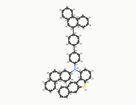 c1ccc2cc3c(cc2c1)sc1cccc(N(c2ccc(-c4ccc(-c5cc6ccccc6c6ccccc56)cc4)cc2)c2ccc4c(ccc5ccccc54)c2)c13